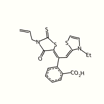 C=CCN1C(=O)C(=C(C=C2SC=CN2CC)c2ccccc2C(=O)O)SC1=S